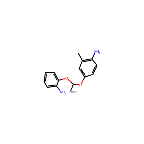 CCCCCCCCCC(Oc1ccc(N)c(C)c1)Oc1ccccc1N